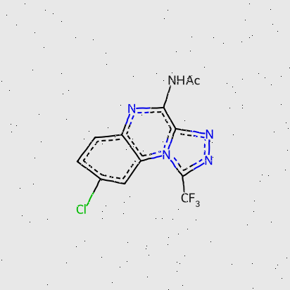 CC(=O)Nc1nc2ccc(Cl)cc2n2c(C(F)(F)F)nnc12